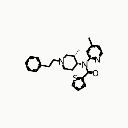 Cc1ccnc(N(C(=O)c2cccs2)[C@@H]2CCN(CCc3ccccc3)C[C@@H]2C)c1